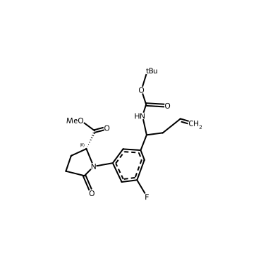 C=CCC(NC(=O)OC(C)(C)C)c1cc(F)cc(N2C(=O)CC[C@@H]2C(=O)OC)c1